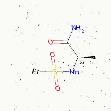 CC(C)S(=O)(=O)N[C@H](C)C(N)=O